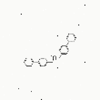 c1ccc(-c2ccc(COCc3ccc(-c4ccccc4)cc3)cc2)cc1